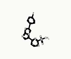 CS(=O)(=O)c1nccc(-c2cnc3sc(-c4ccc(F)cc4)cn23)n1